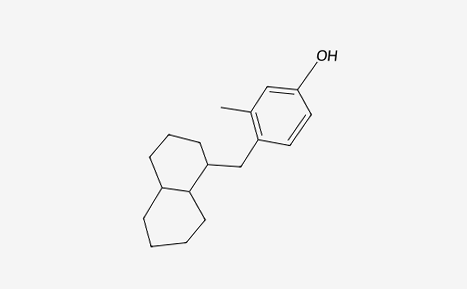 Cc1cc(O)ccc1CC1CCCC2CCCCC21